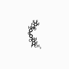 Cc1c(F)cc(C(=O)Nc2ccc(Oc3ccc(NC(=O)c4cc(F)c(F)c(F)c4F)cc3)cc2)c(F)c1F